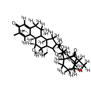 [2H]C[C@]12C([2H])=C(C)C(=O)C([2H])=C1C([2H])([2H])C([2H])([2H])[C@@]1([2H])[C@]3([2H])C([2H])([2H])[C@@]4([2H])O[C@@]([2H])(C5([2H])C([2H])([2H])C([2H])([2H])C([2H])([2H])C([2H])([2H])C5([2H])[2H])O[C@@]4(C(=O)C([2H])([2H])OC(=O)C([2H])(C([2H])([2H])[2H])C([2H])([2H])[2H])[C@@]3(C[2H])C([2H])([2H])[C@]([2H])(O[2H])[C@]21[2H]